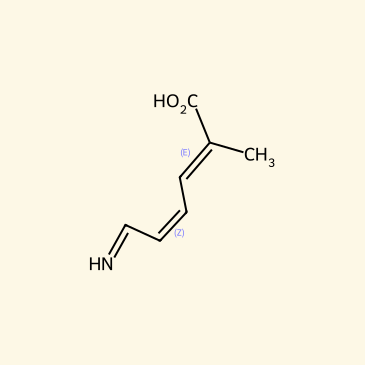 C/C(=C\C=C/C=N)C(=O)O